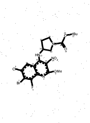 COc1nc2c(F)c(Br)c(Cl)cc2c(NC2CCN(C(=O)OC(C)(C)C)C2)c1[N+](=O)[O-]